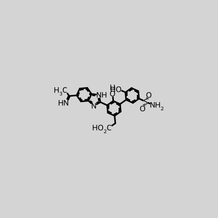 CC(=N)c1ccc2[nH]c(-c3cc(CC(=O)O)cc(-c4cc(S(N)(=O)=O)ccc4O)c3O)nc2c1